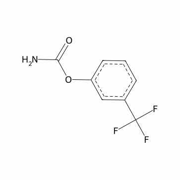 NC(=O)Oc1cccc(C(F)(F)F)c1